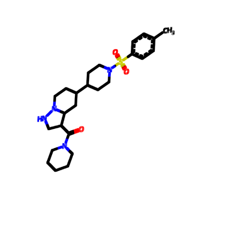 Cc1ccc(S(=O)(=O)N2CCC(C3CCN4NCC(C(=O)N5CCCCC5)C4C3)CC2)cc1